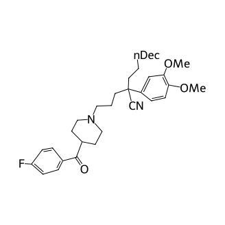 CCCCCCCCCCCCC(C#N)(CCCN1CCC(C(=O)c2ccc(F)cc2)CC1)c1ccc(OC)c(OC)c1